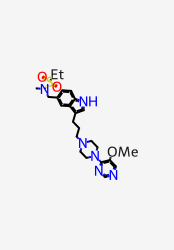 CCS(=O)(=O)N(C)Cc1ccc2[nH]cc(CCCN3CCN(c4ncncc4OC)CC3)c2c1